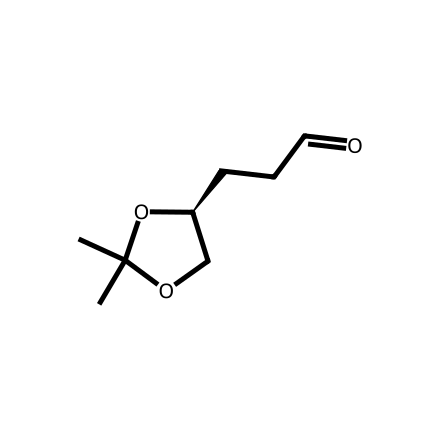 CC1(C)OC[C@H](CCC=O)O1